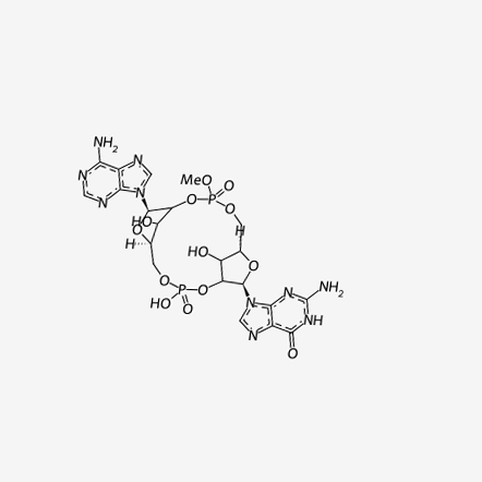 COP1(=O)OC[C@H]2O[C@@H](n3cnc4c(=O)[nH]c(N)nc43)C(OP(=O)(O)OC[C@H]3O[C@@H](n4cnc5c(N)ncnc54)C(O1)C3O)C2O